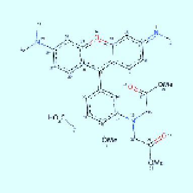 CC(=O)O.CN=c1ccc2c(-c3ccc(OC)c(N(CC(=O)OC)CC(=O)OC)c3)c3ccc(N(C)C)cc3oc-2c1